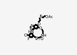 CC(=O)OCCN(C)CCCOc1cc2ncnc3c2cc1OCCCNC(=O)[C@H](C)N(C)Cc1cc(F)c(Cl)cc1N3